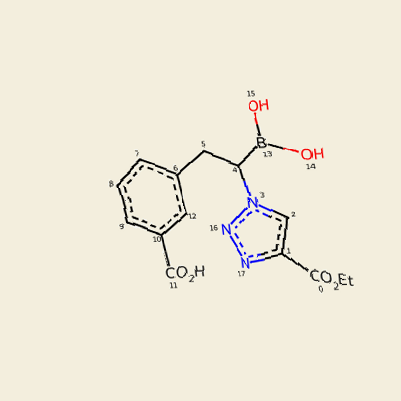 CCOC(=O)c1cn(C(Cc2cccc(C(=O)O)c2)B(O)O)nn1